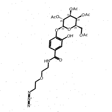 CC(=O)OC[C@H]1O[C@@H](Oc2ccc(C(=O)NCCOCCN=[N+]=[N-])cc2O)[C@H](OC(C)=O)[C@@H](OC(C)=O)[C@H]1OC(C)=O